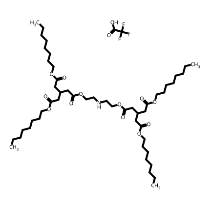 CCCCCCCCOC(=O)CC(CC(=O)OCCCCCCCC)CC(=O)OCCNCCOC(=O)CC(CC(=O)OCCCCCCCC)CC(=O)OCCCCCCCC.O=C(O)C(F)(F)F